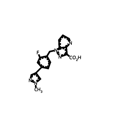 Cn1cc(-c2ccc(Cn3nc(C(=O)O)c4ncccc43)c(F)c2)cn1